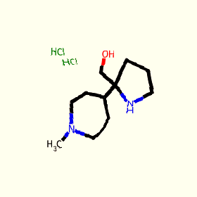 CN1CCC(C2(CO)CCCN2)CC1.Cl.Cl